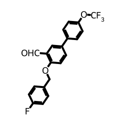 O=Cc1cc(-c2ccc(OC(F)(F)F)cc2)ccc1OCc1ccc(F)cc1